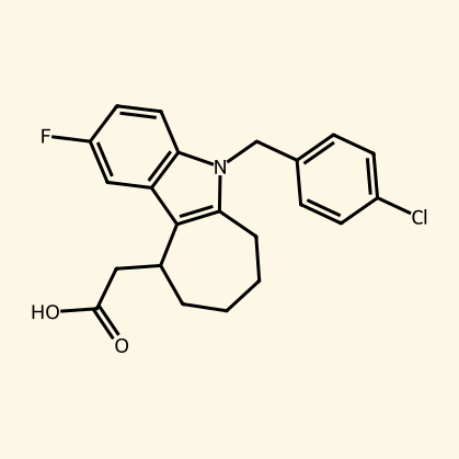 O=C(O)CC1CCCCc2c1c1cc(F)ccc1n2Cc1ccc(Cl)cc1